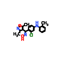 Cc1ccccc1Nc1ccc(C(=NO)c2c(C)noc2C)c(Cl)c1